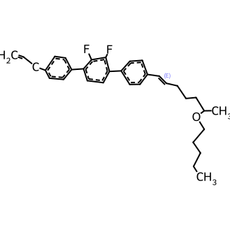 C=CCc1ccc(-c2ccc(-c3ccc(/C=C/CCCC(C)OCCCCC)cc3)c(F)c2F)cc1